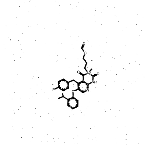 CC(C)c1ccccc1Oc1cnc2c(c1Cc1ccc(F)cc1)C(=O)[N+](C)(CCCOC=O)C(=O)N2